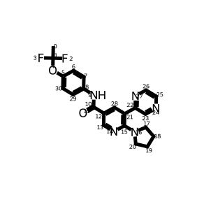 CC(F)(F)Oc1ccc(NC(=O)c2cnc(N3CCCC3)c(-c3cnccn3)c2)cc1